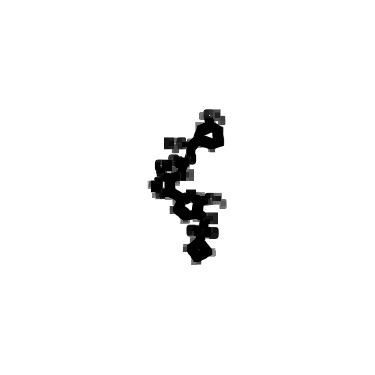 Cc1cccc([C@@H](C)OC(=O)Nc2c(-c3ccc(NS(=O)(=O)C4CCC4)c(C)n3)nnn2C)c1